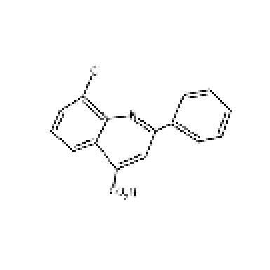 O=C(O)c1cc(-c2ccccc2)nc2c(Cl)cccc12